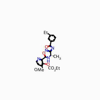 CCOC(=O)Oc1c(OC)ccnc1C(=O)N[C@@H](C)c1noc(-c2cccc(CC)c2)n1